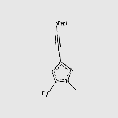 CCCCCC#Cc1cc(C(F)(F)F)n(C)n1